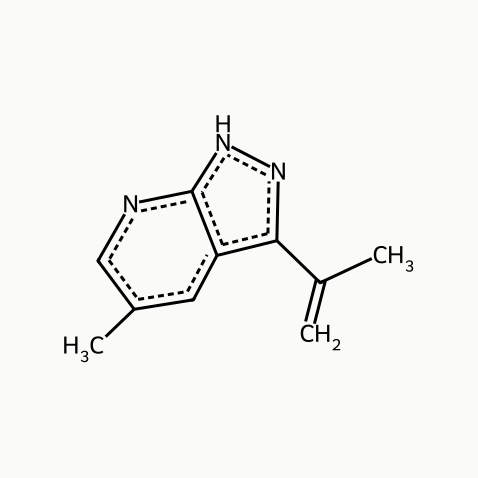 C=C(C)c1n[nH]c2ncc(C)cc12